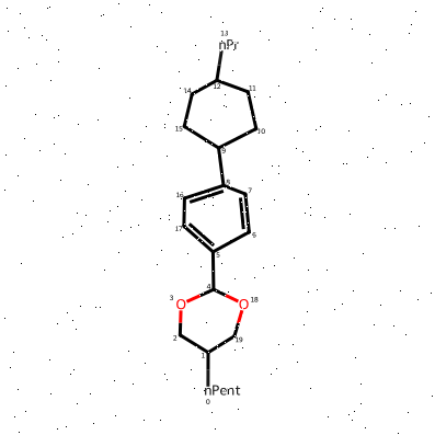 CCCCCC1COC(c2ccc(C3CCC(CCC)CC3)cc2)OC1